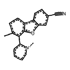 Cc1ccc2c(oc3cc(C#N)ccc32)c1-c1cccc[n+]1C